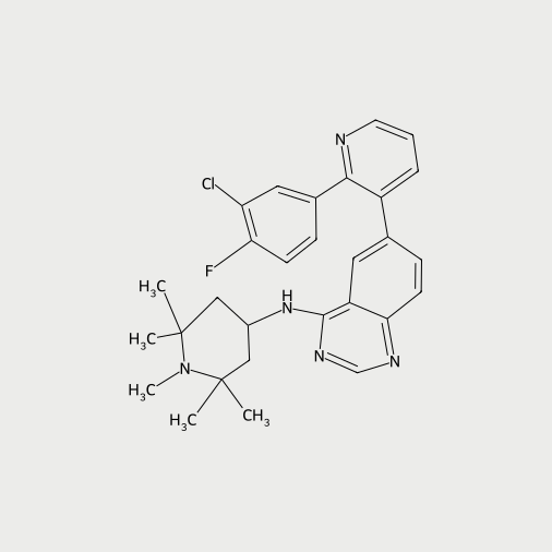 CN1C(C)(C)CC(Nc2ncnc3ccc(-c4cccnc4-c4ccc(F)c(Cl)c4)cc23)CC1(C)C